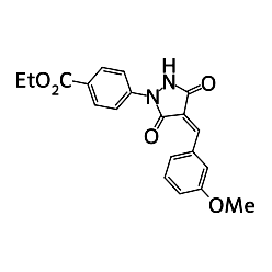 CCOC(=O)c1ccc(N2NC(=O)/C(=C/c3cccc(OC)c3)C2=O)cc1